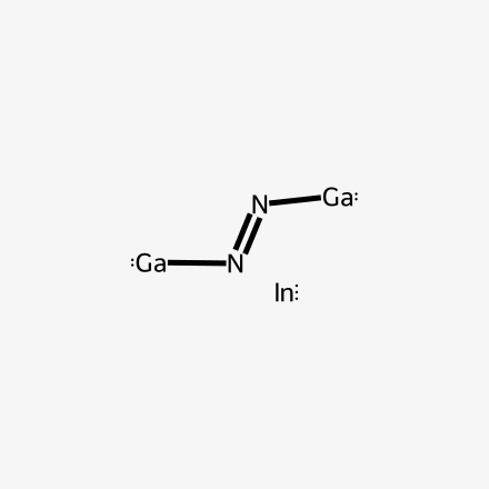 [Ga][N]=[N][Ga].[In]